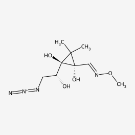 CON=C[C@]1(O)C(C)(C)[C@@]1(O)[C@H](O)CN=[N+]=[N-]